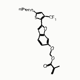 C=C(C)C(=O)OCOc1ccc2cc(-c3sc(CCCCC)cc3C(F)(F)F)oc2c1